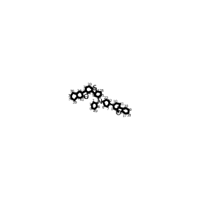 c1ccc(N(c2ccc(-c3ccc4c(c3)oc3ccccc34)cc2)c2ccc3sc4ccc5c6cc7ccccc7cc6oc5c4c3c2)cc1